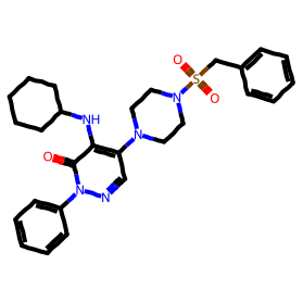 O=c1c(NC2CCCCC2)c(N2CCN(S(=O)(=O)Cc3ccccc3)CC2)cnn1-c1ccccc1